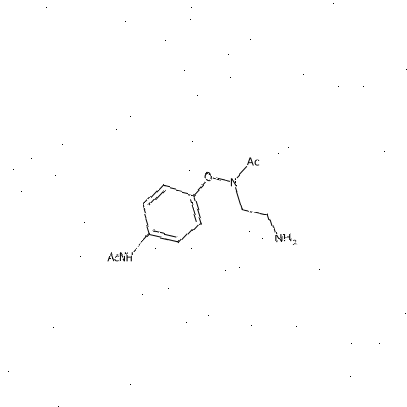 CC(=O)Nc1ccc(ON(CCN)C(C)=O)cc1